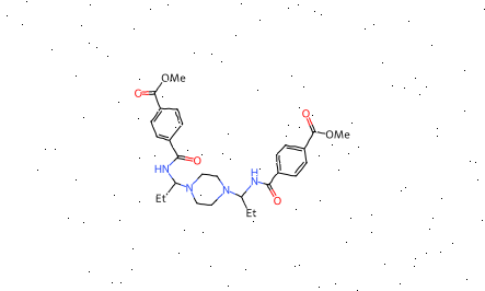 CCC(NC(=O)c1ccc(C(=O)OC)cc1)N1CCN(C(CC)NC(=O)c2ccc(C(=O)OC)cc2)CC1